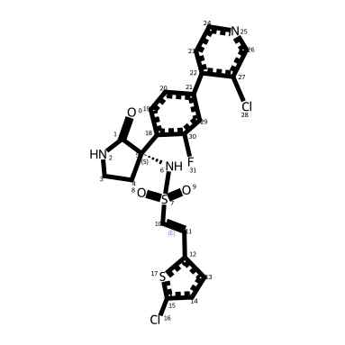 O=C1NCC[C@]1(NS(=O)(=O)/C=C/c1ccc(Cl)s1)c1ccc(-c2ccncc2Cl)cc1F